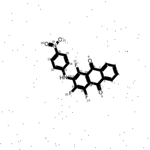 O=C1c2ccccc2C(=O)c2c(F)c(Nc3ccc([N+](=O)[O-])cc3)c(F)c(F)c21